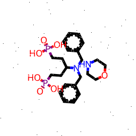 C1COCCN1.O=P(O)(O)CCC(CCP(=O)(O)O)N(Cc1ccccc1)Cc1ccccc1